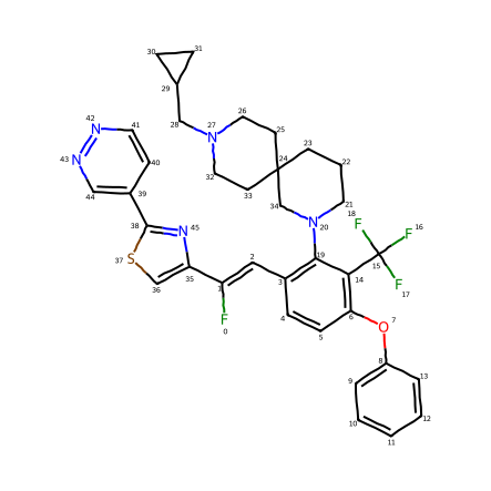 F/C(=C\c1ccc(Oc2ccccc2)c(C(F)(F)F)c1N1CCCC2(CCN(CC3CC3)CC2)C1)c1csc(-c2ccnnc2)n1